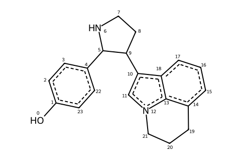 Oc1ccc(C2NCCC2c2cn3c4c(cccc24)CCC3)cc1